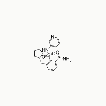 NC(=O)c1cccc(CC2CCCC2)c1S(=O)(=O)Nc1cccnc1